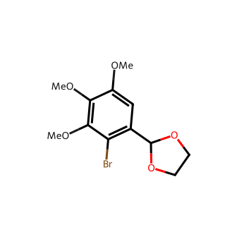 COc1cc(C2OCCO2)c(Br)c(OC)c1OC